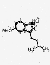 COc1ccc2[nH]nc(CCN(C)C)c2c1.Cl.Cl